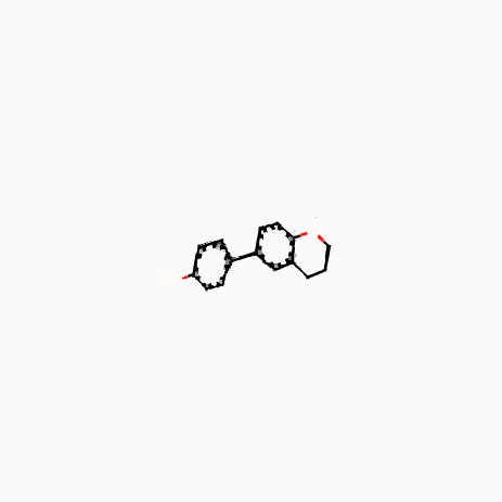 Oc1ccc(-c2ccc3c(c2)CCCO3)cc1